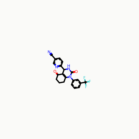 N#Cc1ccc(C2NC(=O)N(c3cccc(C(F)(F)F)c3)C3=C2C(=O)CCC3)nc1